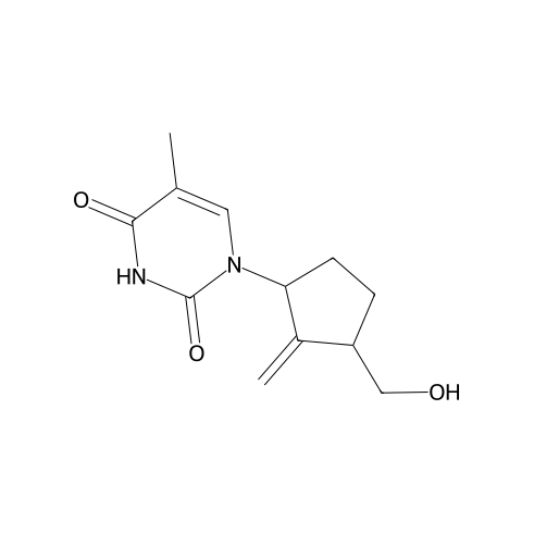 C=C1C(CO)CCC1n1cc(C)c(=O)[nH]c1=O